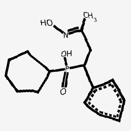 CC(CC(c1ccccc1)P(=O)(O)C1CCCCC1)=NO